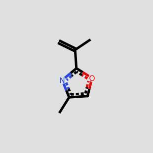 C=C(C)c1nc(C)co1